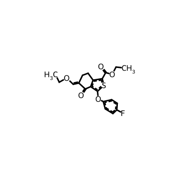 CCOC=C1CCc2c(C(=O)OCC)sc(Oc3ccc(F)cc3)c2C1=O